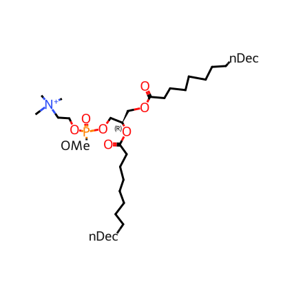 CCCCCCCCCCCCCCCCCC(=O)OC[C@H](COP(=O)(OC)OCC[N+](C)(C)C)OC(=O)CCCCCCCCCCCCCCCCC